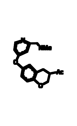 CNCc1cc(Oc2ccc3c(c2)CC(C(C)=O)CO3)ccn1